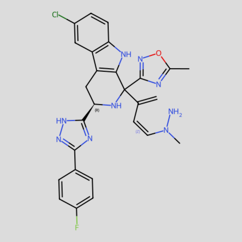 C=C(/C=C\N(C)N)C1(c2noc(C)n2)N[C@@H](c2nc(-c3ccc(F)cc3)n[nH]2)Cc2c1[nH]c1ccc(Cl)cc21